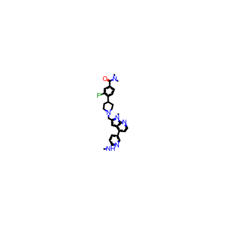 CNc1ccc(-c2ccnc3c2cc(CN2CCC(c4ccc(C(=O)N(C)C)cc4F)CC2)n3C)cn1